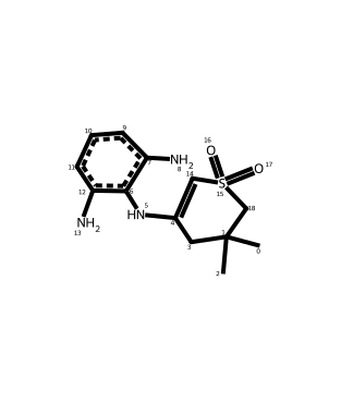 CC1(C)CC(Nc2c(N)cccc2N)=CS(=O)(=O)C1